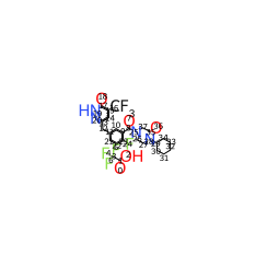 O=C(O)C(F)(F)F.O=C(c1cc(Cc2cc(C(F)(F)F)c(=O)[nH]n2)ccc1F)N1CCN(C2CCCCC2)C(=O)C1